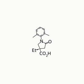 CC[C@]1(C(=O)O)CC(=O)N(c2c(C)cccc2C)C1